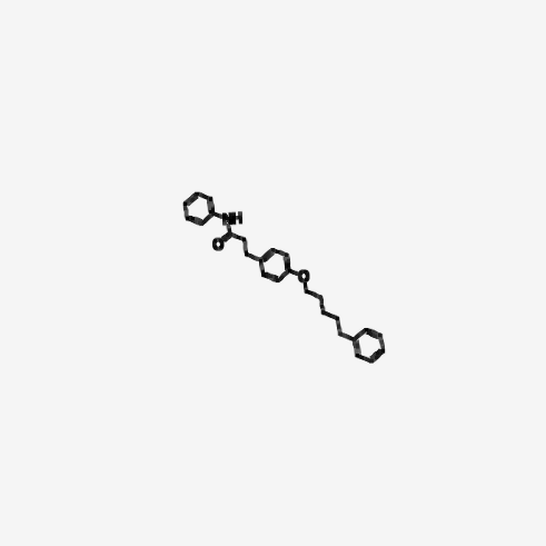 O=C(CCc1ccc(OCCCCCc2ccccc2)cc1)Nc1ccccc1